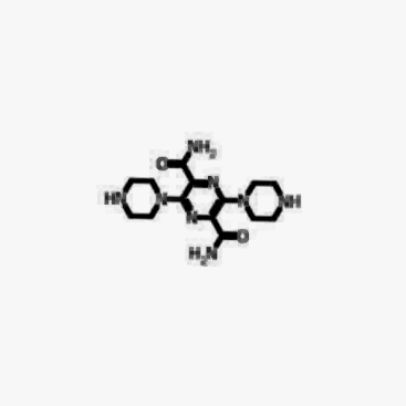 NC(=O)c1nc(N2CCNCC2)c(C(N)=O)nc1N1CCNCC1